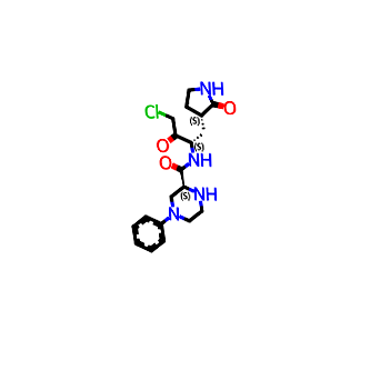 O=C1NCC[C@H]1C[C@H](NC(=O)[C@@H]1CN(c2ccccc2)CCN1)C(=O)CCl